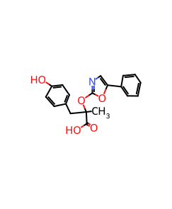 CC(Cc1ccc(O)cc1)(Oc1ncc(-c2ccccc2)o1)C(=O)O